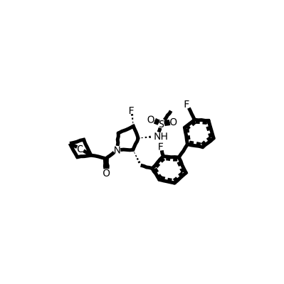 CS(=O)(=O)N[C@H]1[C@@H](F)CN(C(=O)C23CC(C2)C3)[C@H]1Cc1cccc(-c2cccc(F)c2)c1F